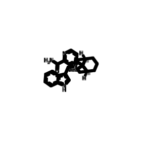 COC1(c2ccnc(C(N)=O)c2)[C@@H]2CCC[C@H]1CN(Cc1c[nH]c3ccccc13)C2